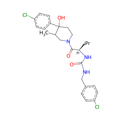 CC(C)[C@@H](NC(=O)NCc1ccc(Cl)cc1)C(=O)N1CCC(O)(c2ccc(Cl)cc2)C(C)C1